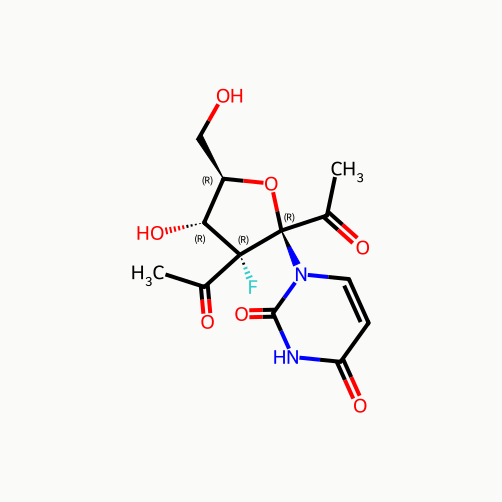 CC(=O)[C@@]1(F)[C@H](O)[C@@H](CO)O[C@@]1(C(C)=O)n1ccc(=O)[nH]c1=O